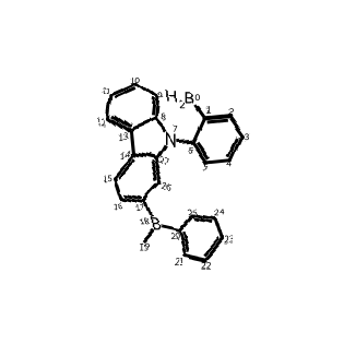 Bc1ccccc1-n1c2ccccc2c2ccc(B(C)c3ccccc3)cc21